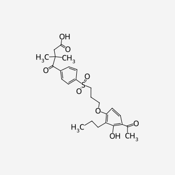 CCCc1c(OCCCS(=O)(=O)c2ccc(C(=O)C(C)(C)CC(=O)O)cc2)ccc(C(C)=O)c1O